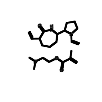 C=C(C)C(=O)OCCN(C)C.C=CC1CCCC(C2CCCN2C=C)NC1=O